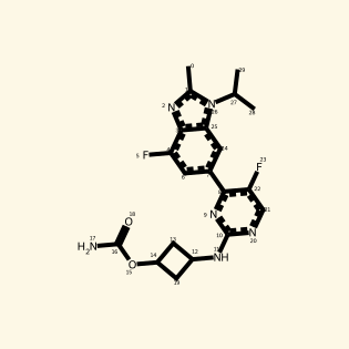 Cc1nc2c(F)cc(-c3nc(NC4CC(OC(N)=O)C4)ncc3F)cc2n1C(C)C